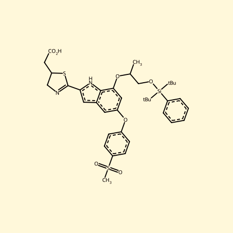 CC(CO[Si](c1ccccc1)(C(C)(C)C)C(C)(C)C)Oc1cc(Oc2ccc(S(C)(=O)=O)cc2)cc2cc(C3=NCC(CC(=O)O)S3)[nH]c12